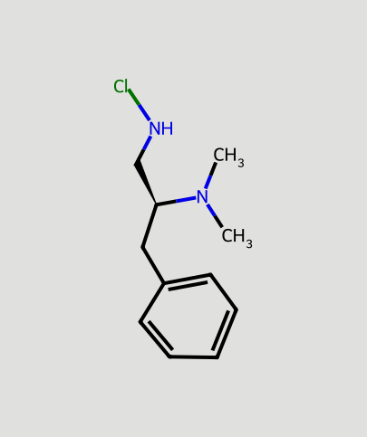 CN(C)[C@H](CNCl)Cc1ccccc1